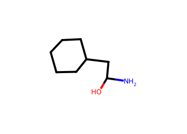 NC(O)CC1CCCCC1